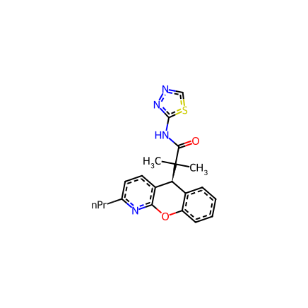 CCCc1ccc2c(n1)Oc1ccccc1[C@@H]2C(C)(C)C(=O)Nc1nncs1